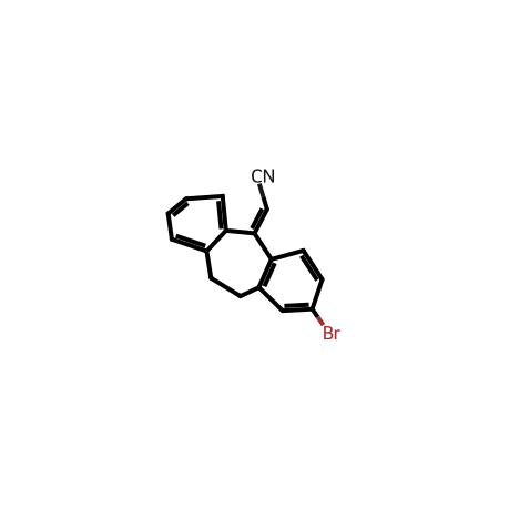 N#C/C=C1\c2ccccc2CCc2cc(Br)ccc21